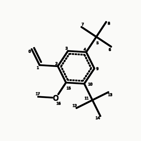 C=Cc1cc(C(C)(C)C)cc(C(C)(C)C)c1OC